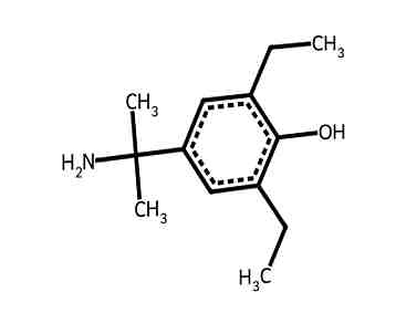 CCc1cc(C(C)(C)N)cc(CC)c1O